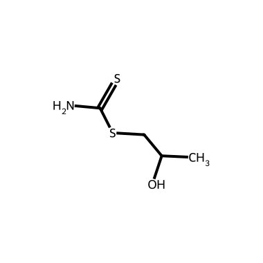 CC(O)CSC(N)=S